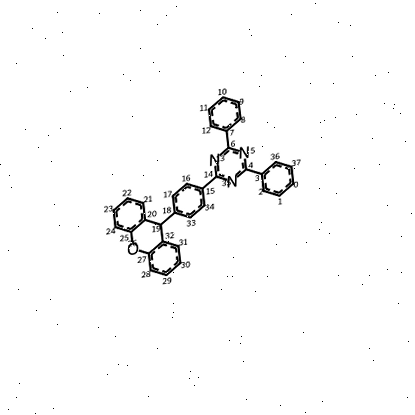 c1ccc(-c2nc(-c3ccccc3)nc(-c3ccc(C4c5ccccc5Oc5ccccc54)cc3)n2)cc1